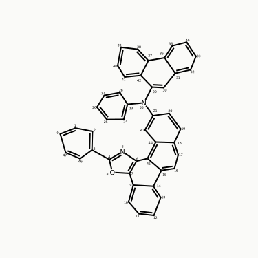 c1ccc(-c2nc3c(o2)c2ccccc2c2ccc4ccc(N(c5ccccc5)c5cc6ccccc6c6ccccc56)cc4c23)cc1